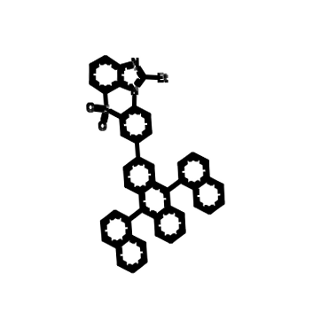 CCc1nc2cccc3c2n1-c1ccc(-c2ccc4c(-c5cccc6ccccc56)c5ccccc5c(-c5cccc6ccccc56)c4c2)cc1S3(=O)=O